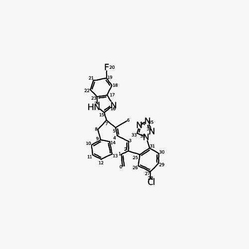 C=C/C(=C\C=C(/C)C(Cc1ccccc1)c1nc2cc(F)ccc2[nH]1)c1cc(Cl)ccc1-n1cnnn1